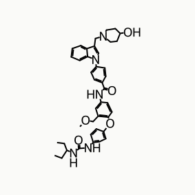 CCC(CC)NC(=O)Nc1ccc(Oc2ccc(NC(=O)c3ccc(-n4cc(CN5CCC(O)CC5)c5ccccc54)cc3)cc2COC)cc1